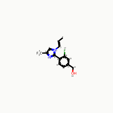 CC=Cn1cc(C(F)(F)F)nc1-c1ccc(CO)cc1F